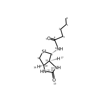 CCCCC(=O)N[C@H]1SC[C@@H]2NC(=O)N[C@@H]21